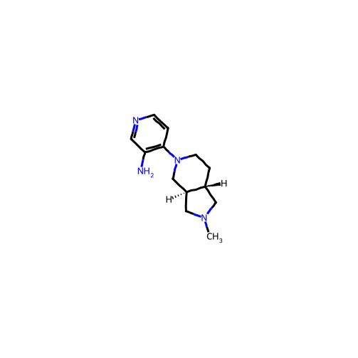 CN1C[C@H]2CCN(c3ccncc3N)C[C@@H]2C1